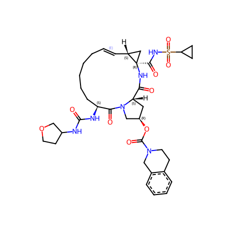 O=C(NC1CCOC1)N[C@H]1CCCCC/C=C/[C@@H]2C[C@@]2(C(=O)NS(=O)(=O)C2CC2)NC(=O)[C@@H]2C[C@@H](OC(=O)N3CCc4ccccc4C3)CN2C1=O